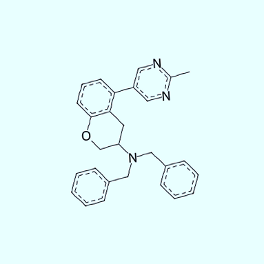 Cc1ncc(-c2cccc3c2CC(N(Cc2ccccc2)Cc2ccccc2)CO3)cn1